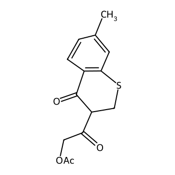 CC(=O)OCC(=O)C1CSc2cc(C)ccc2C1=O